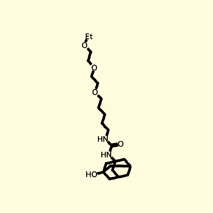 CCOCCOCCOCCCCCNC(=O)NC12CC3CC(CC(O)(C3)C1)C2